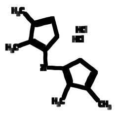 CC1=CC[C]([Zr][C]2=C(C)C(C)=CC2)=C1C.Cl.Cl